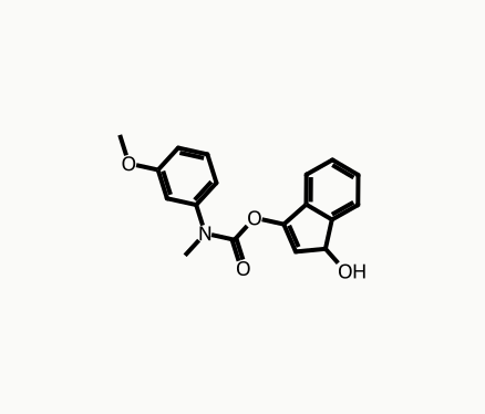 COc1cccc(N(C)C(=O)OC2=CC(O)c3ccccc32)c1